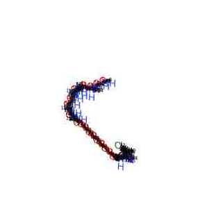 CCCNC(=O)CCNC(=O)c1nc(NC(=O)CCNC(=O)c2cc(NC(=O)c3nc(NC(=O)CCNC(=O)c4cc(NC(=O)c5nc(NC(=O)COCCOCCOCCOCCOCCOCCOCCOCCOc6ccc(NC(=O)C[C@@H]7N=C(c8ccc(Cl)cc8)c8c(sc(C)c8C)-n8c(C)nnc87)cc6)cn5C)cn4C)cn3C)cn2C)cn1C